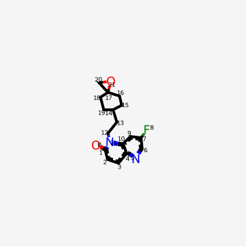 O=c1ccc2ncc(F)cc2n1CCC1CCC2(CC1)CO2